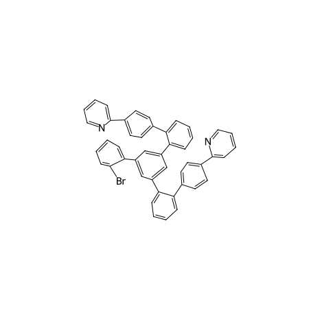 Brc1ccccc1-c1cc(-c2ccccc2-c2ccc(-c3ccccn3)cc2)cc(-c2ccccc2-c2ccc(-c3ccccn3)cc2)c1